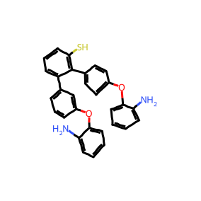 Nc1ccccc1Oc1ccc(-c2c(S)cccc2-c2cccc(Oc3ccccc3N)c2)cc1